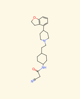 N#CCC(=O)NC1CCC(CCN2CCC(c3cccc4c3CCO4)CC2)CC1